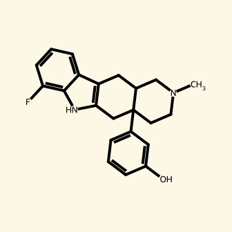 CN1CCC2(c3cccc(O)c3)Cc3[nH]c4c(F)cccc4c3CC2C1